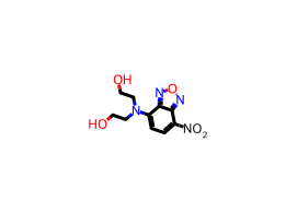 O=[N+]([O-])c1ccc(N(CCO)CCO)c2nonc12